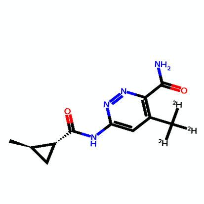 [2H]C([2H])([2H])c1cc(NC(=O)[C@@H]2C[C@H]2C)nnc1C(N)=O